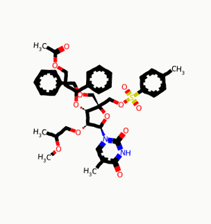 COC(C)CO[C@H]1[C@H](n2cc(C)c(=O)[nH]c2=O)O[C@@](COCc2ccccc2)(COS(=O)(=O)c2ccc(C)cc2)[C@H]1OC(CCOC(C)=O)c1ccccc1